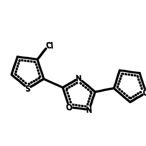 Clc1ccsc1-c1nc(-c2ccoc2)no1